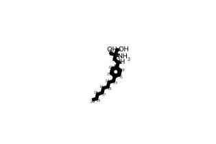 [2H]C(CC(N)(CO)CO)c1ccc(CCCCCCCC)cc1